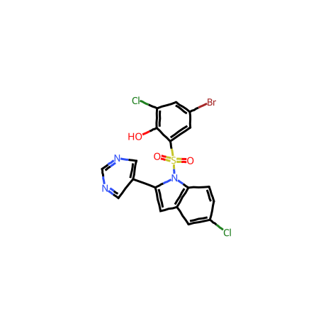 O=S(=O)(c1cc(Br)cc(Cl)c1O)n1c(-c2cncnc2)cc2cc(Cl)ccc21